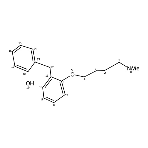 CNCCCCOc1ccccc1Cc1ccccc1O